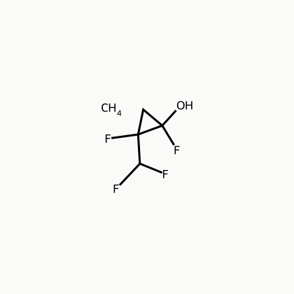 C.OC1(F)CC1(F)C(F)F